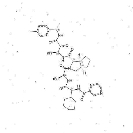 CCC[C@H](NC(=O)[C@@H]1[C@H]2CCC[C@H]2CN1C(=O)[C@@H](NC(=O)[C@@H](NC(=O)c1cnccn1)C1CCCCC1)C(C)(C)C)C(=O)C(=O)N[C@@H](C)c1ccc(C)cc1